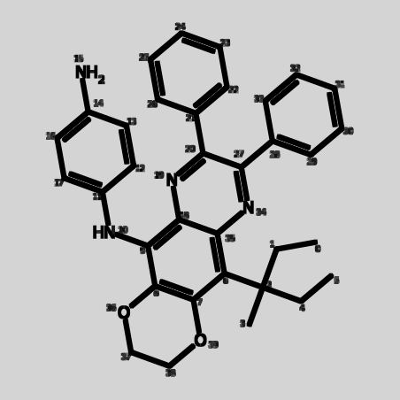 CCC(C)(CC)c1c2c(c(Nc3ccc(N)cc3)c3nc(-c4ccccc4)c(-c4ccccc4)nc13)OCCO2